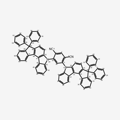 N#Cc1cc(C#N)c(-n2c3ccccc3c3c4c(ccc32)C(c2ccccc2)(c2ccccc2)c2ccccc2-4)cc1-n1c2ccccc2c2c3c(ccc21)C(c1ccccc1)(c1ccccc1)c1ccccc1-3